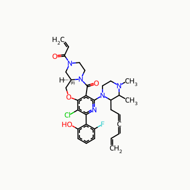 C=CC=C=CCC1C(C)N(C)CCN1c1nc(-c2c(O)cccc2F)c(Cl)c2c1C(=O)N1CCN(C(=O)C=C)C[C@@H]1CO2